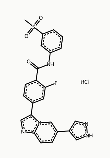 CS(=O)(=O)c1cccc(NC(=O)c2ccc(-c3cnc4ccc(-c5cn[nH]c5)cn34)cc2F)c1.Cl